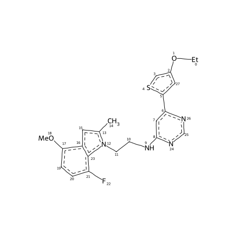 CCOc1csc(-c2cc(NCCn3c(C)cc4c(OC)ccc(F)c43)ncn2)c1